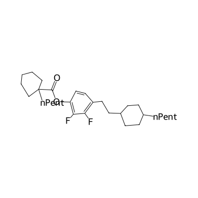 CCCCCC1CCC(CCc2ccc(OC(=O)C3(CCCCC)CCCCC3)c(F)c2F)CC1